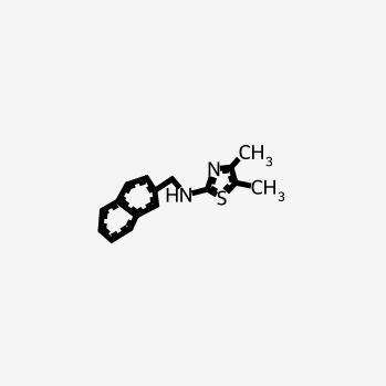 Cc1nc(NCc2ccc3ccccc3c2)sc1C